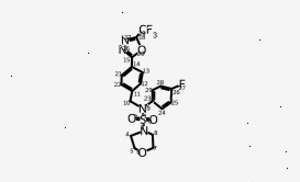 O=S(=O)(N1CCOCC1)N(Cc1ccc(-c2nnc(C(F)(F)F)o2)cc1)c1ccc(F)cc1